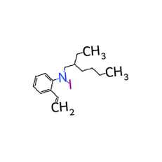 C=Cc1ccccc1N(I)CC(CC)CCCC